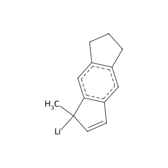 [Li][C]1(C)C=Cc2cc3c(cc21)CCC3